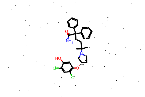 CC(C)(CCC(C(N)=O)(c1ccccc1)c1ccccc1)N1CC[C@H](Oc2cc(O)c(Cl)cc2Cl)C1